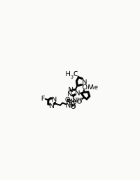 COc1cccc(OC)c1-n1c(NS(=O)(=O)NCCc2ncc(F)cn2)nnc1-c1cncc(C)c1